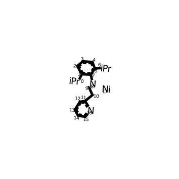 CC(C)c1cccc(C(C)C)c1N=CCc1ccccn1.[Ni]